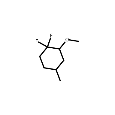 COC1CC(C)CCC1(F)F